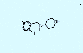 Ic1ccccc1CNC1CCNCC1